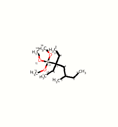 CCC(C)CC(CC)(CC)[Si](OC)(OC)OC